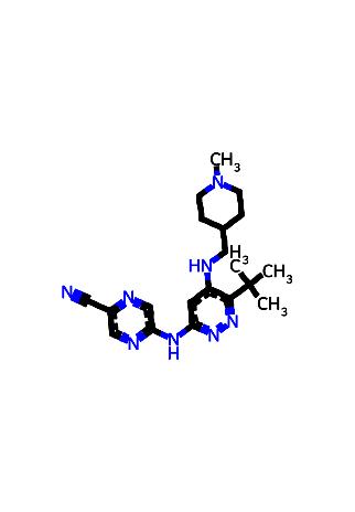 CN1CCC(CNc2cc(Nc3cnc(C#N)cn3)nnc2C(C)(C)C)CC1